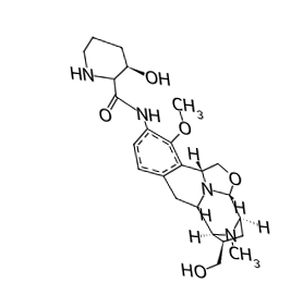 COc1c(NC(=O)C2NCCC[C@H]2O)ccc2c1[C@@H]1CO[C@@H]3[C@H]4C[C@@H](CO)[C@@H]([C@H](C2)N31)N4C